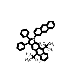 CC(C)(C)c1c2ccccc2c(C(C)(C)C)c2cc3c(cc12)c(-c1ccccc1)c(-c1ccccc1)n3-c1ccc2cc3ccccc3cc2c1